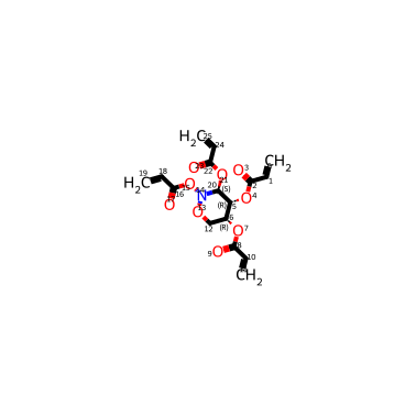 C=CC(=O)O[C@@H]1[C@H](OC(=O)C=C)CON(OC(=O)C=C)[C@H]1OC(=O)C=C